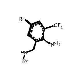 CC(C)NCc1cc(Br)cc(C(F)(F)F)c1N